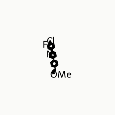 COCC[C@H]1CC[C@H](c2ccc(-c3ccc(Cl)c(F)c3)nc2)CC1